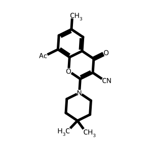 CC(=O)c1cc(C)cc2c(=O)c(C#N)c(N3CCC(C)(C)CC3)oc12